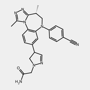 Cc1nnc2n1-c1ccc(C3C=NN(CC(N)=O)C3)cc1N(c1ccc(C#N)cc1)C[C@H]2C